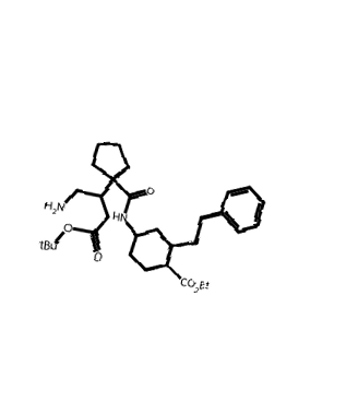 CCOC(=O)C1CCC(NC(=O)C2(C(CN)CC(=O)OC(C)(C)C)CCCC2)CC1CCc1ccccc1